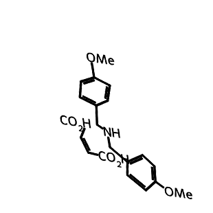 COc1ccc(CNCc2ccc(OC)cc2)cc1.O=C(O)/C=C\C(=O)O